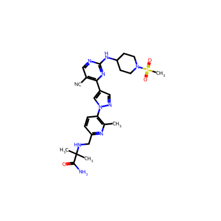 Cc1nc(CNC(C)(C)C(N)=O)ccc1-n1cc(-c2nc(NC3CCN(S(C)(=O)=O)CC3)ncc2C#N)cn1